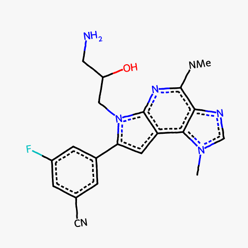 CNc1nc2c(cc(-c3cc(F)cc(C#N)c3)n2CC(O)CN)c2c1ncn2C